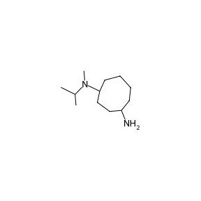 CC(C)N(C)C1CCCCC(N)CC1